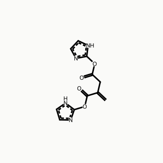 C=C(CC(=O)Oc1ncc[nH]1)C(=O)Oc1ncc[nH]1